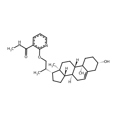 CNC(=O)c1cccnc1OCC(C)[C@H]1CC[C@H]2[C@@H]3CC=C4C[C@@H](O)CC[C@]4(C)[C@H]3CC[C@]12C